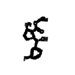 CCC[C@H]1CC[C@H]([C@H](O)c2cccc(F)c2)N1C(=O)OC(C)(C)C